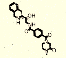 CN1CCN(C(=O)c2ccc(C(=O)NC[C@@H](O)[C@@H]3Cc4ccccc4CN3)cc2)CC1=O